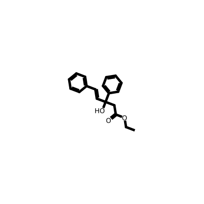 CCOC(=O)CC(O)(/C=C/c1ccccc1)c1ccccc1